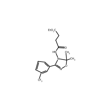 CCOC(=O)CCC(=O)NN1C(c2cccc(C(F)(F)F)c2)=NOC1(C)C